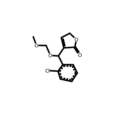 COCOC(C1=CCOC1=O)c1ccccc1Cl